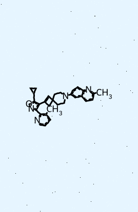 Cc1ccc2cc(N3CCC4(C=C(c5c(-c6ncccc6C)noc5C5CC5)C4)CC3)ccc2n1